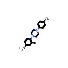 Cc1cc([N+](=O)[O-])ccc1N1CCN(c2ccc(C#N)cc2)CC1